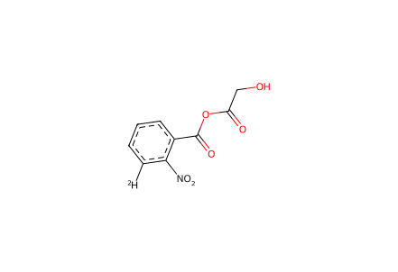 [2H]c1cccc(C(=O)OC(=O)CO)c1[N+](=O)[O-]